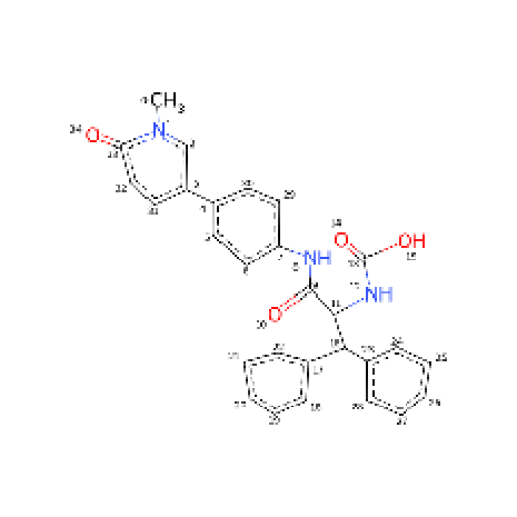 Cn1cc(-c2ccc(NC(=O)C(NC(=O)O)C(c3ccccc3)c3ccccc3)cc2)ccc1=O